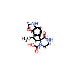 CCCC1(c2ccc3c(c2)OCN3)C(=O)NCCN1C(=O)O